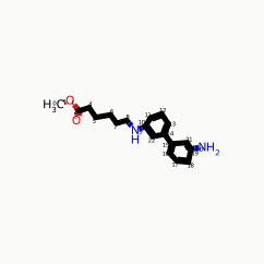 COC(=O)CCCCCNc1cccc(-c2cccc(N)c2)c1